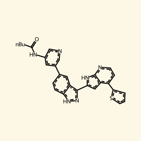 CCCCC(=O)Nc1cncc(-c2ccc3[nH]nc(-c4cc5c(-c6cccs6)ccnc5[nH]4)c3c2)c1